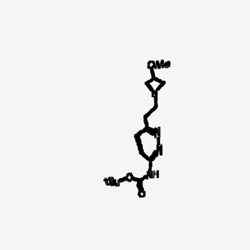 COC1CN(CCc2ccc(NC(=O)OC(C)(C)C)nn2)C1